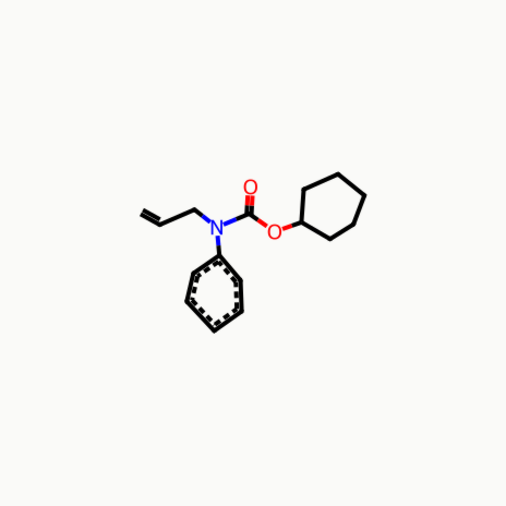 C=CCN(C(=O)OC1CCCCC1)c1ccccc1